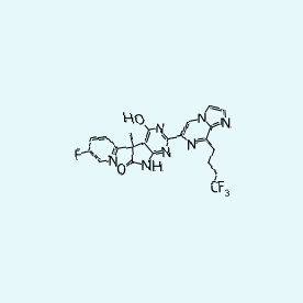 CC1(c2ccc(F)cn2)C(=O)Nc2nc(-c3cn4ccnc4c(CCCC(F)(F)F)n3)nc(O)c21